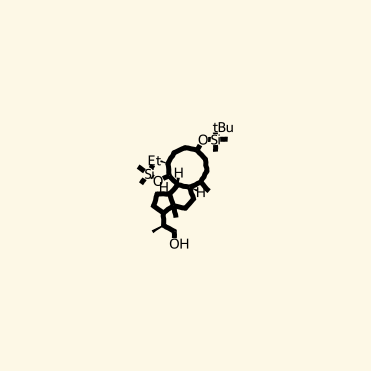 CC[C@@H]1CCC(O[Si](C)(C)C(C)(C)C)CCC(C)[C@H]2CCC3(C)C([C@H](C)CO)CC[C@H]3[C@@H]2C1O[Si](C)(C)C